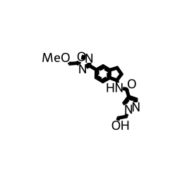 COCc1nc(-c2ccc3c(c2)CCC3NC(=O)c2cnn(CCO)c2)no1